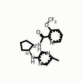 Cc1cnc(N[C@H]2CCC[C@@H]2NC(=O)c2ncccc2OC(F)(F)F)cn1